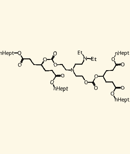 CCCCCCCOC(=O)CCC(CCC(=O)OCCCCCCC)OC(=O)OCCN(CCOC(=O)OC(CCC(=O)OCCCCCCC)CCC(=O)OCCCCCCC)CCN(CC)CC